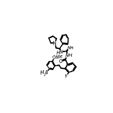 Bc1ccc(OC)c(CCc2c(F)cccc2C(=O)NC(=N)NC(CN2CCCC2)c2ccccc2)c1